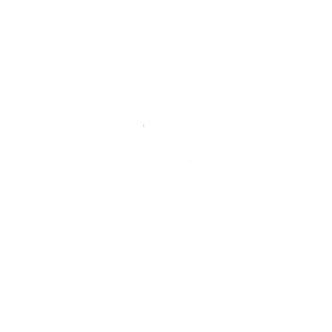 COC(=O)CSC(CC(C)=O)c1ccccc1